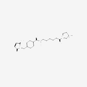 C[C@@H]1CCN(C(=O)CCCCCNC(=O)C2CCC(CN3C(=O)C=CC3=O)CC2)C1